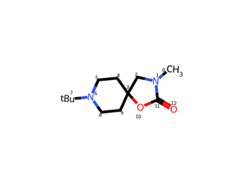 CN1CC2(CCN(C(C)(C)C)CC2)OC1=O